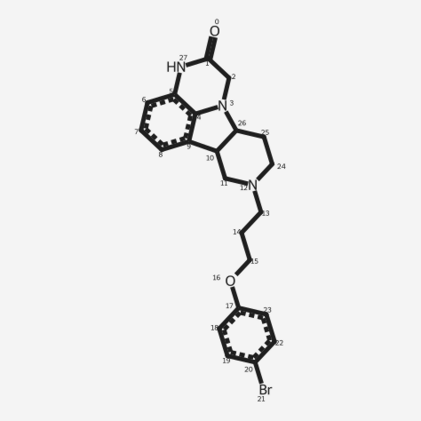 O=C1CN2c3c(cccc3C3CN(CCCOc4ccc(Br)cc4)CCC32)N1